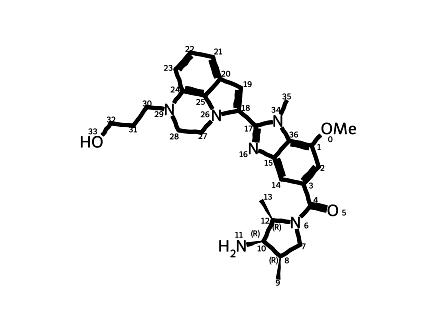 COc1cc(C(=O)N2C[C@@H](C)[C@@H](N)[C@H]2C)cc2nc(-c3cc4cccc5c4n3CCN5CCCO)n(C)c12